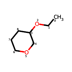 CCOC1[C]OCCC1